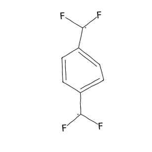 F[C](F)c1ccc([C](F)F)cc1